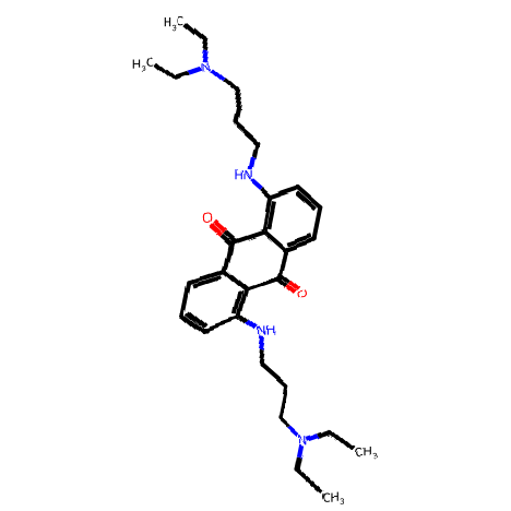 CCN(CC)CCCNc1cccc2c1C(=O)c1cccc(NCCCN(CC)CC)c1C2=O